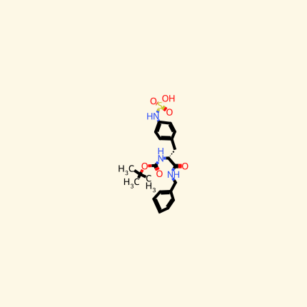 CC(C)(C)OC(=O)N[C@H](Cc1ccc(NS(=O)(=O)O)cc1)C(=O)NCc1ccccc1